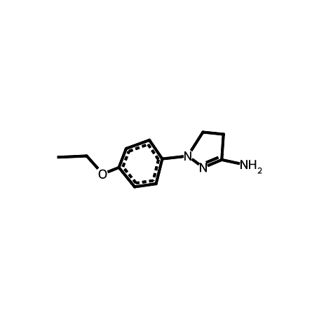 CCOc1ccc(N2CCC(N)=N2)cc1